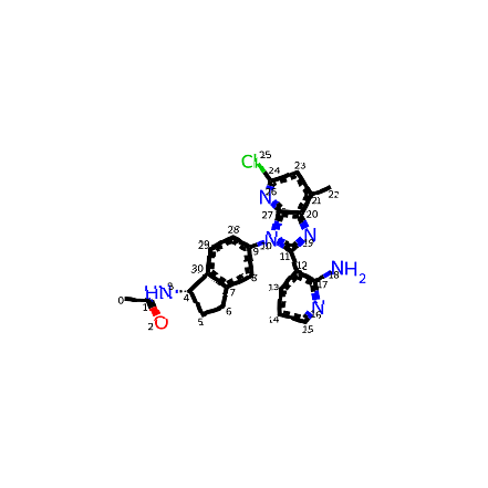 CC(=O)N[C@H]1CCc2cc(-n3c(-c4cccnc4N)nc4c(C)cc(Cl)nc43)ccc21